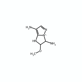 COC1NC2=C(N)C=N[N+]2C1N